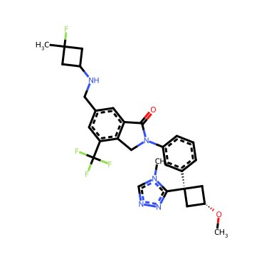 CO[C@H]1C[C@](c2cccc(N3Cc4c(cc(CNC5CC(C)(F)C5)cc4C(F)(F)F)C3=O)c2)(c2nncn2C)C1